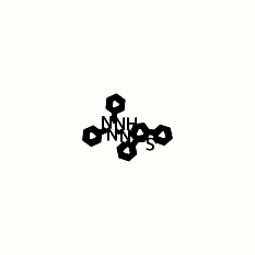 c1ccc(C2=NC(n3c4ccccc4c4c5sc6ccccc6c5ccc43)NC(c3ccccc3)=N2)cc1